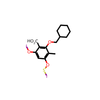 Cc1c(OSI)cc(OI)c(C(=O)O)c1OCC1CCCCC1